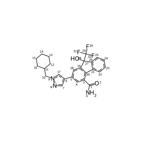 NC(=O)c1cc(-c2cnn(CC3CCCCC3)c2)cc2c1-c1ccccc1C2(O)C(F)(F)F